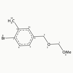 COCOCc1ccc(Br)c(C)c1